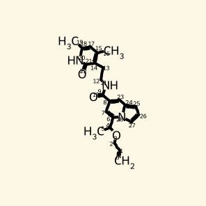 C=CCOC(C)c1cc(C(=O)NCCc2c(C)cc(C)[nH]c2=O)cc2cccn12